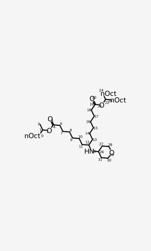 CCCCCCCCC(C)OC(=O)CCCCCCC(CCCCCCC(=O)OC(CCCCCCCC)CCCCCCCC)NC1CCOCC1